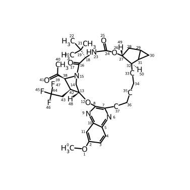 COc1ccc2nc3c(nc2c1)O[C@H]1CN(C(=O)[C@H](C(C)(C)C)NC(=O)O[C@@H]2CC4CC4[C@H]2CCCCC3)[C@H](C(C)=O)[C@@H]1CC(F)(F)F